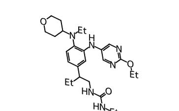 CCNC(=O)NCC(CC)c1ccc(N(CC)C2CCOCC2)c(Nc2cnc(OCC)nc2)c1